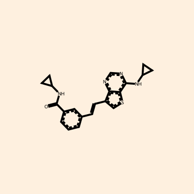 O=C(NC1CC1)c1cccc(C=Cc2csc3c(NC4CC4)ncnc23)c1